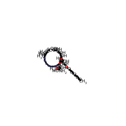 COCCOCCOCCOCCOCCOCCNC(=O)[C@H]1[C@@H]2C[C@@H](O[C@@H]3O[C@H](C)[C@@H](O)[C@H](N)[C@@H]3O)/C=C/C=C/C=C/C=C/C=C/C=C/C=C/[C@H](C)[C@@H](O)[C@H](C)[C@H](C)OC(=O)C[C@H](O)C[C@H](O)[C@@H](O)CC[C@H](O)C[C@H](O)C[C@](O)(C[C@@H]1O)O2